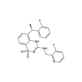 C[C@@H](c1ccccc1F)c1cccc2c1NC(NCc1ncccc1F)=NS2(=O)=O